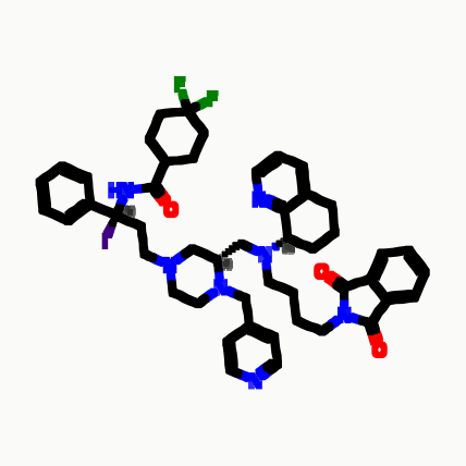 O=C(N[C@](I)(CCN1CCN(Cc2ccncc2)[C@@H](CN(CCCCN2C(=O)c3ccccc3C2=O)[C@H]2CCCc3cccnc32)C1)c1ccccc1)C1CCC(F)(F)CC1